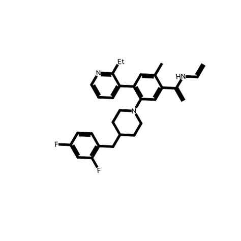 C=CNC(=C)c1cc(N2CCC(Cc3ccc(F)cc3F)CC2)c(-c2cccnc2CC)cc1C